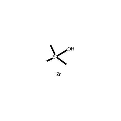 C[Si](C)(C)O.[Zr]